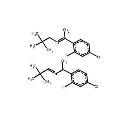 CC(=NCC(C)(C)C)c1ccc(Cl)cc1Cl.CC(N=CC(C)(C)C)c1ccc(Cl)cc1Cl